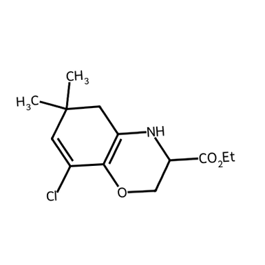 CCOC(=O)C1COC2=C(CC(C)(C)C=C2Cl)N1